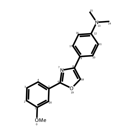 COc1cccc(-c2nc(-c3ccc(N(C)C)cc3)co2)c1